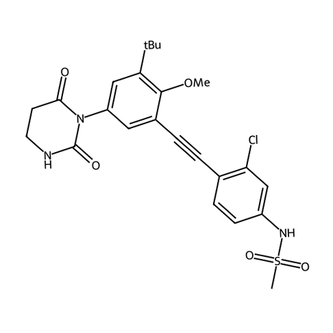 COc1c(C#Cc2ccc(NS(C)(=O)=O)cc2Cl)cc(N2C(=O)CCNC2=O)cc1C(C)(C)C